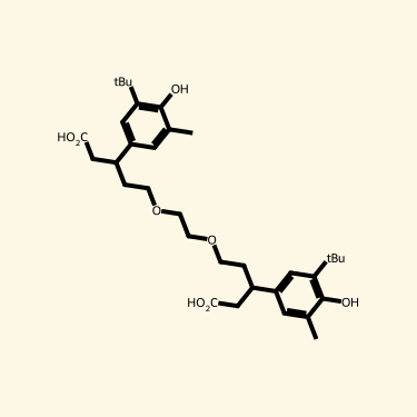 Cc1cc(C(CCOCCOCCC(CC(=O)O)c2cc(C)c(O)c(C(C)(C)C)c2)CC(=O)O)cc(C(C)(C)C)c1O